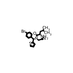 CC(C)C[C@H](N)C(=O)N(CC#N)[C@@H](c1ccc(Br)cc1)c1cccs1